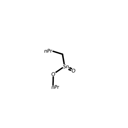 CCC[CH2][Sn](=[O])[O]CCC